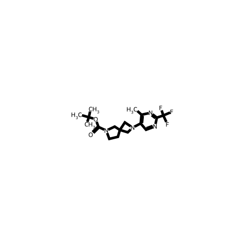 Cc1nc(C(F)(F)F)ncc1N1CC2(CCN(C(=O)OC(C)(C)C)C2)C1